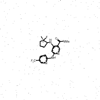 CNC(=O)c1cnc(Nc2ccc(C(F)(F)F)cn2)cc1NC1CCC[C@]1(C)F